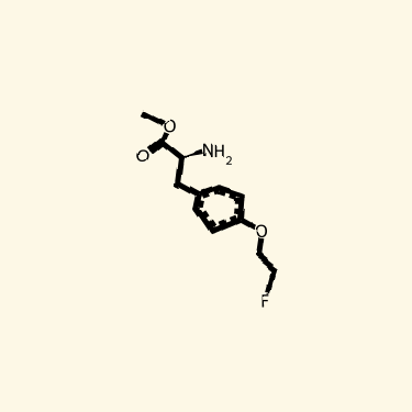 COC(=O)[C@@H](N)Cc1ccc(OCCF)cc1